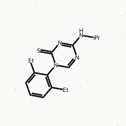 CCc1cccc(CC)c1-n1cnc(NC(C)C)nc1=S